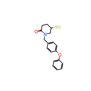 O=C1CCC(S)CN1Cc1ccc(Oc2ccccc2)cc1